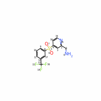 NCc1cc(S(=O)(=O)c2cccc(C(F)(F)F)c2)ccn1